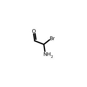 NC(Br)C=O